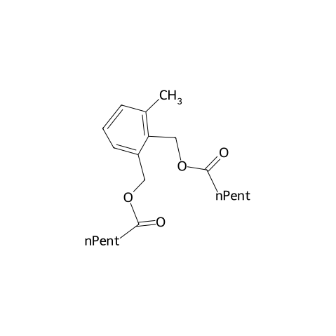 CCCCCC(=O)OCc1cccc(C)c1COC(=O)CCCCC